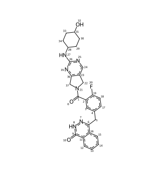 O=C(c1cc(Cc2n[nH]c(=O)c3ccccc23)ccc1F)N1Cc2cnc(NC3CCC(O)CC3)nc2C1